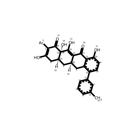 CC(=O)C1=C(O)C[C@@H]2C[C@@H]3Cc4c(-c5cccc(C)c5)ccc(O)c4C(=O)C3=C(O)[C@]2(O)C1=O